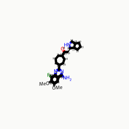 COc1cc2c(N)nc(C3CCCC(C(=O)C[C@H]4NCC5CCCC54)CC3)nc2c(F)c1OC